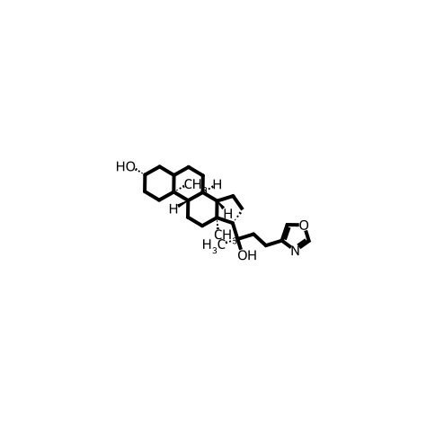 C[C@]12CC[C@H]3[C@@H](CCC4C[C@@H](O)CC[C@@]43C)[C@@H]1CC[C@@H]2[C@](C)(O)CCc1cocn1